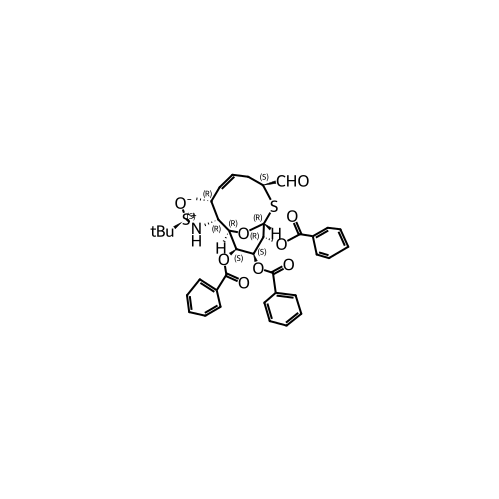 C[C@@H]1C=CC[C@@H](C=O)S[C@H]2O[C@H]([C@@H]1N[S@+]([O-])C(C)(C)C)[C@H](OC(=O)c1ccccc1)[C@H](OC(=O)c1ccccc1)[C@H]2OC(=O)c1ccccc1